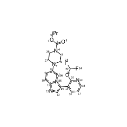 CC(C)OC(=O)N1CCN(c2ccc3ncc(-c4cccnc4OC(F)F)n3n2)CC1